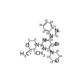 C[C@@H]1[C@@H](C)OCCN1c1nc(N2CCOCC2)c(Br)c(-n2cnc3ccccc32)n1